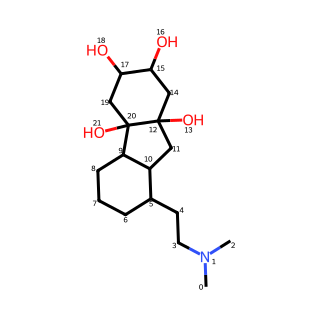 CN(C)CCC1CCCC2C1CC1(O)CC(O)C(O)CC21O